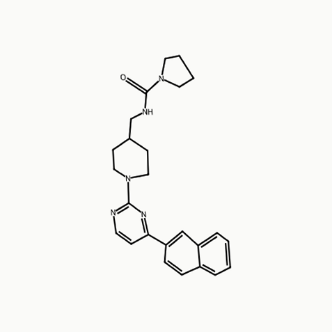 O=C(NCC1CCN(c2nccc(-c3ccc4ccccc4c3)n2)CC1)N1CCCC1